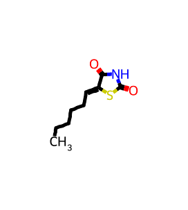 CCCCCC=C1SC(=O)NC1=O